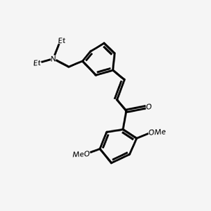 CCN(CC)Cc1cccc(C=CC(=O)c2cc(OC)ccc2OC)c1